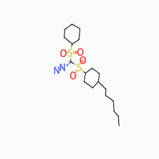 CCCCCCC1CCC(S(=O)(=O)C(=[N+]=[N-])S(=O)(=O)C2CCCCC2)CC1